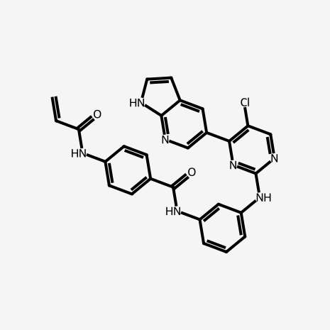 C=CC(=O)Nc1ccc(C(=O)Nc2cccc(Nc3ncc(Cl)c(-c4cnc5[nH]ccc5c4)n3)c2)cc1